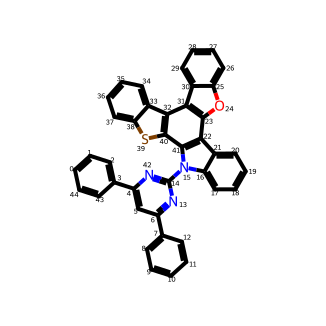 c1ccc(-c2cc(-c3ccccc3)nc(-n3c4ccccc4c4c5oc6ccccc6c5c5c6ccccc6sc5c43)n2)cc1